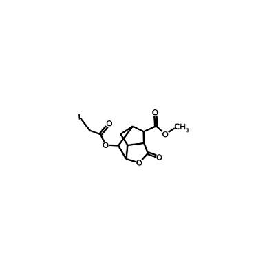 COC(=O)C1C2CC3C(OC(=O)C31)C2OC(=O)CI